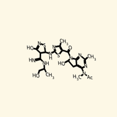 CC(=O)N(C)c1nc(C)nc2c1CC(O)N2C(=O)c1sc(NC2SN=C(O)C2C(=N)NC(C)CO)nc1C